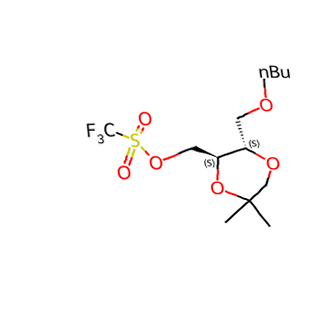 CCCCOC[C@@H]1OCC(C)(C)O[C@H]1COS(=O)(=O)C(F)(F)F